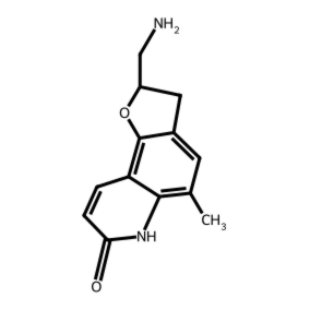 Cc1cc2c(c3ccc(=O)[nH]c13)OC(CN)C2